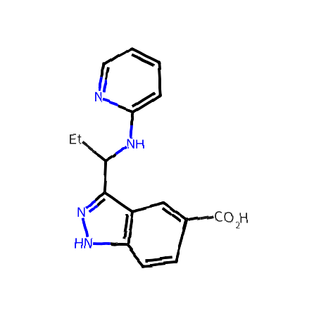 CCC(Nc1ccccn1)c1n[nH]c2ccc(C(=O)O)cc12